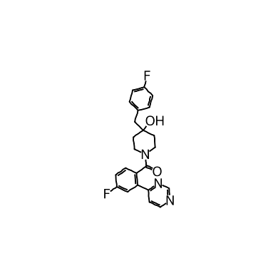 O=C(c1ccc(F)cc1-c1ccncn1)N1CCC(O)(Cc2ccc(F)cc2)CC1